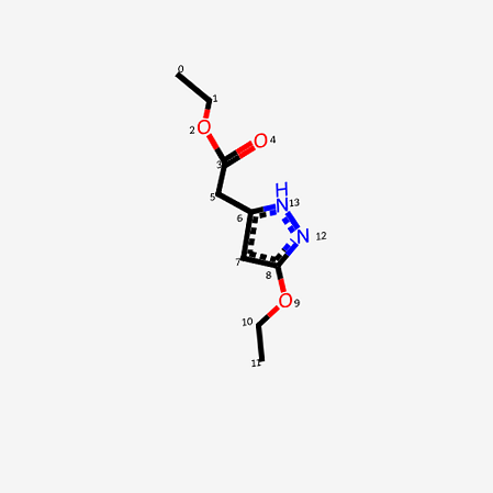 CCOC(=O)Cc1cc(OCC)n[nH]1